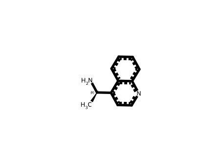 C[C@@H](N)c1ccnc2ccccc12